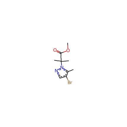 COC(=O)C(C)(C)n1ncc(Br)c1C